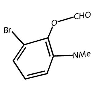 CNc1cccc(Br)c1OC=O